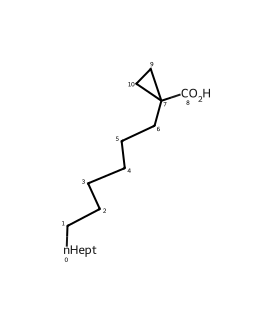 CCCCCCCCCCCCCC1(C(=O)O)CC1